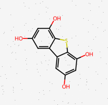 Oc1cc(O)c2sc3c(O)cc(O)cc3c2c1